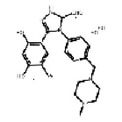 CC(C)c1cc(C2=NNC(C=O)N2c2ccc(CN3CCN(C)CC3)cc2)c(O)cc1O.Cl.Cl